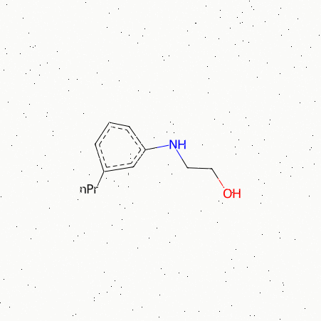 CCCc1cccc(NCCO)c1